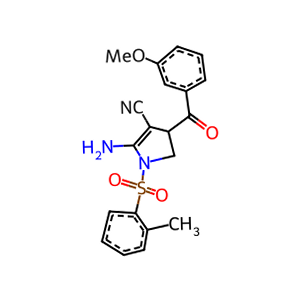 COc1cccc(C(=O)C2CN(S(=O)(=O)c3ccccc3C)C(N)=C2C#N)c1